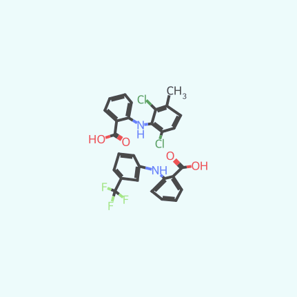 Cc1ccc(Cl)c(Nc2ccccc2C(=O)O)c1Cl.O=C(O)c1ccccc1Nc1cccc(C(F)(F)F)c1